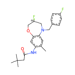 Cc1cc2c(cc1NC(=O)CC(C)(C)C)OC[C@@H](F)CN2Cc1ccc(F)cc1